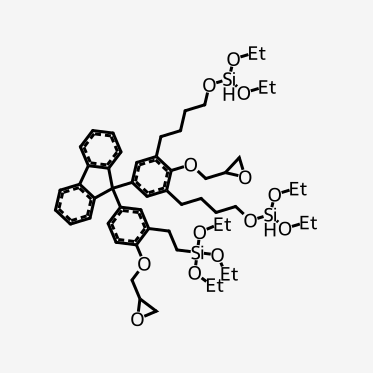 CCO[SiH](OCC)OCCCCc1cc(C2(c3ccc(OCC4CO4)c(CC[Si](OCC)(OCC)OCC)c3)c3ccccc3-c3ccccc32)cc(CCCCO[SiH](OCC)OCC)c1OCC1CO1